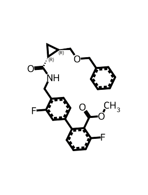 COC(=O)c1c(F)cccc1-c1ccc(CNC(=O)[C@@H]2C[C@H]2COCc2ccccc2)c(F)c1